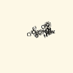 O=C(c1cc(Cl)cc(Cl)c1)N1CCC(CNc2cc(-c3ccccc3Cl)nc3c(Br)cnn23)CC1